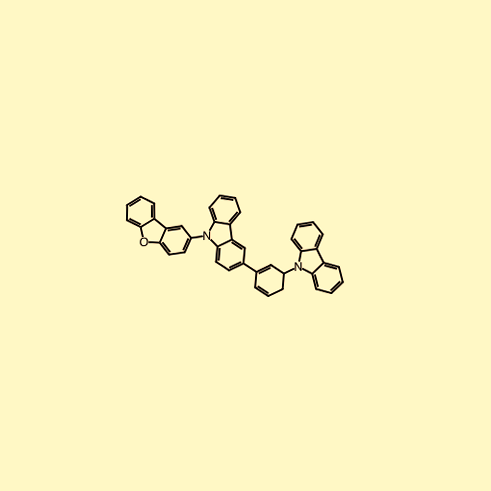 C1=CC(c2ccc3c(c2)c2ccccc2n3-c2ccc3oc4ccccc4c3c2)=CC(n2c3ccccc3c3ccccc32)C1